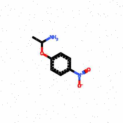 CC(N)Oc1ccc([N+](=O)[O-])cc1